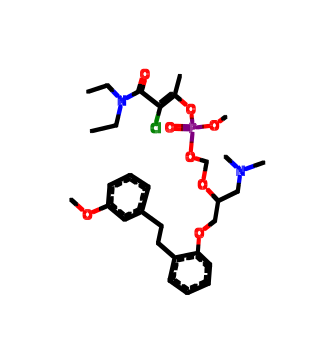 CCN(CC)C(=O)C(Cl)=C(C)OP(=O)(OC)OCOC(COc1ccccc1CCc1cccc(OC)c1)CN(C)C